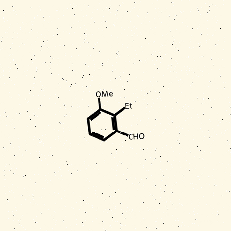 CCc1c(C=O)cccc1OC